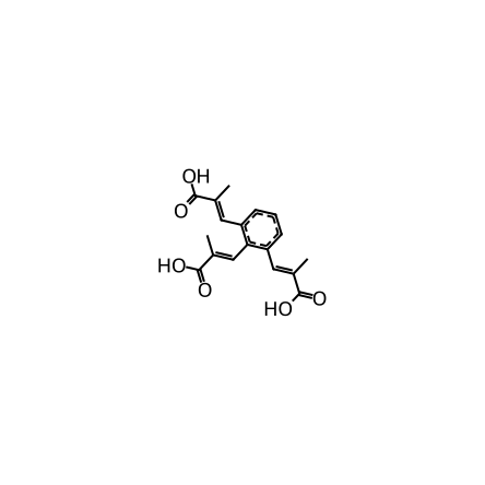 C/C(=C\c1cccc(/C=C(\C)C(=O)O)c1/C=C(\C)C(=O)O)C(=O)O